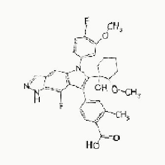 COc1cc(-n2c(C3(O)CCCC[C@@H]3OC)c(-c3ccc(C(=O)O)c(C)c3)c3c(F)c4[nH]ncc4cc32)ccc1F